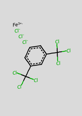 ClC(Cl)(Cl)c1cccc(C(Cl)(Cl)Cl)c1.[Cl-].[Cl-].[Cl-].[Fe+3]